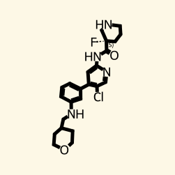 O=C(Nc1cc(-c2cccc(NCC3CCOCC3)c2)c(Cl)cn1)[C@]1(F)CCCNC1